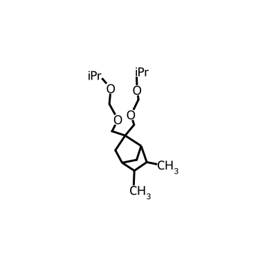 CC(C)OCOCC1(COCOC(C)C)CC2CC1C(C)C2C